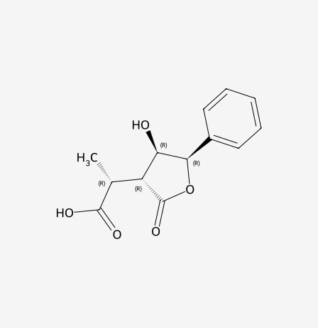 C[C@@H](C(=O)O)[C@H]1C(=O)O[C@H](c2ccccc2)[C@@H]1O